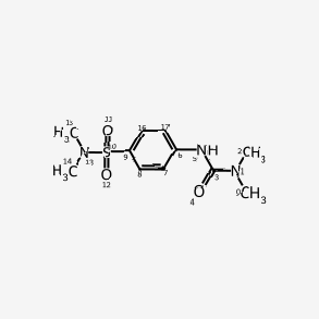 CN(C)C(=O)Nc1ccc(S(=O)(=O)N(C)C)cc1